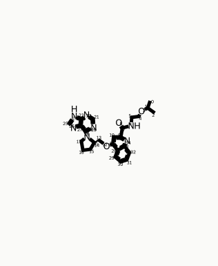 CC(C)OCCNC(=O)c1cc(OC[C@H]2CCCN2c2ncnc3[nH]cnc23)c2ccccc2n1